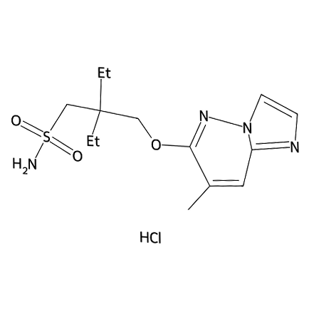 CCC(CC)(COc1nn2ccnc2cc1C)CS(N)(=O)=O.Cl